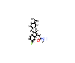 CNC(=O)CC1=C(C)C(Cc2ccc(C(C)C)cc2)c2ccc(F)cc21